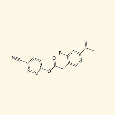 C=C(C)c1ccc(CC(=O)Oc2ccc(C#N)nn2)c(F)c1